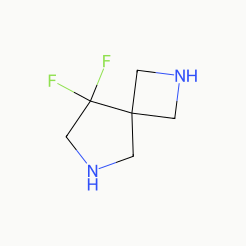 FC1(F)CNCC12CNC2